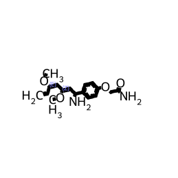 C=C/C(=C\C(=C\C(N)c1ccc(OCC(N)=O)cc1)OC)OC